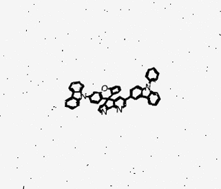 c1ccc(-n2c3ccccc3c3cc(-c4cnc5c(c4)C4(c6ccccc6Oc6cc(-n7c8ccccc8c8ccccc87)ccc64)c4cccnc4-5)ccc32)cc1